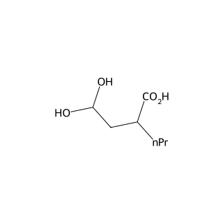 CCCC(CC(O)O)C(=O)O